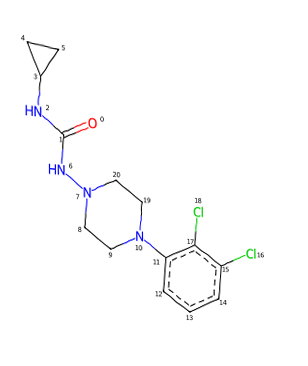 O=C(NC1CC1)NN1CCN(c2cccc(Cl)c2Cl)CC1